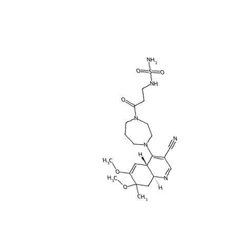 COC1=C[C@@H]2C(N3CCCN(C(=O)CCNS(N)(=O)=O)CC3)=C(C#N)C=N[C@H]2CC1(C)OC